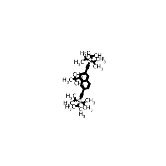 CC(C)[Si](C#Cc1cc(C(C)(C)C)c2cc(C#C[Si](C(C)C)(C(C)C)C(C)C)ccc2c1)(C(C)C)C(C)C